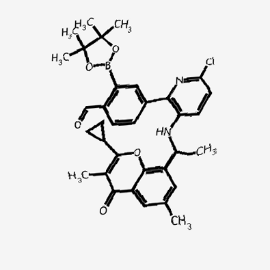 Cc1cc(C(C)Nc2ccc(Cl)nc2-c2ccc(C=O)c(B3OC(C)(C)C(C)(C)O3)c2)c2oc(C3CC3)c(C)c(=O)c2c1